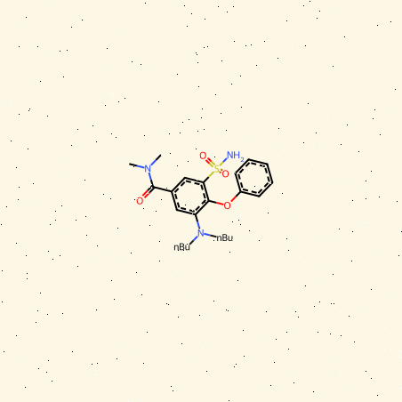 CCCCN(CCCC)c1cc(C(=O)N(C)C)cc(S(N)(=O)=O)c1Oc1ccccc1